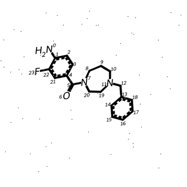 Nc1ccc(C(=O)N2CCCN(Cc3ccccc3)CC2)cc1F